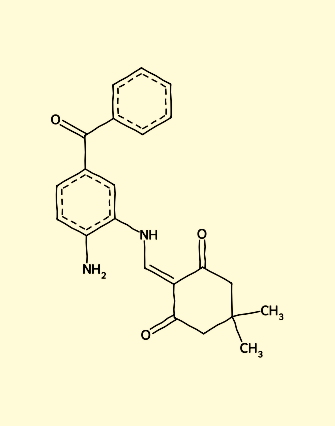 CC1(C)CC(=O)C(=CNc2cc(C(=O)c3ccccc3)ccc2N)C(=O)C1